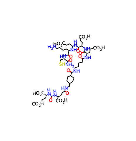 NCCCCC(NC(CCC(=O)O)NC(=O)C(CCC(=O)O)NC(=O)C(CCC(=O)O)NC(=O)CCCCNC(=O)C1CCC(CNC(=O)CCC(NC(=O)NC(CCC(=O)O)C(=O)O)C(=O)O)CC1)C(=O)NC(CS)C(N)=O